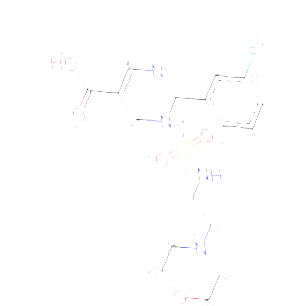 O=C(O)C1=CN=C(c2cccc(F)c2)N(S(=O)(=O)NCCN2CCOCC2)C1